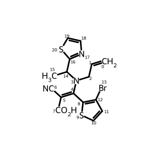 C=CCN(C(=C(C#N)C(=O)O)c1sccc1Br)C(C)c1nccs1